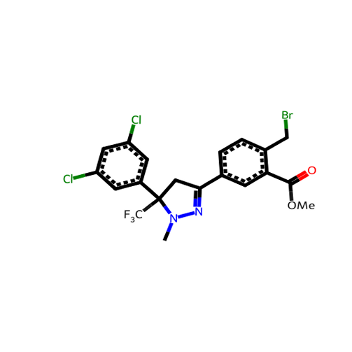 COC(=O)c1cc(C2=NN(C)C(c3cc(Cl)cc(Cl)c3)(C(F)(F)F)C2)ccc1CBr